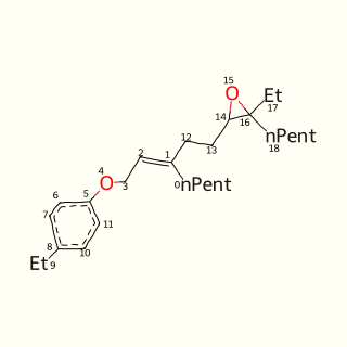 CCCCC/C(=C\COc1ccc(CC)cc1)CCC1OC1(CC)CCCCC